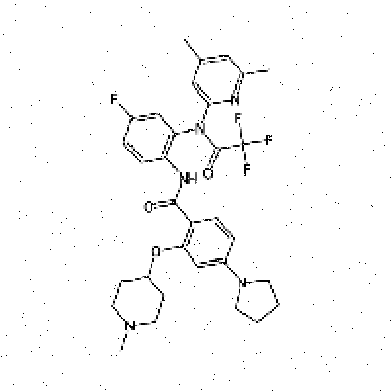 Cc1cc(C)nc(N(C(=O)C(F)(F)F)c2cc(F)ccc2NC(=O)c2ccc(N3CCCC3)cc2OC2CCN(C)CC2)c1